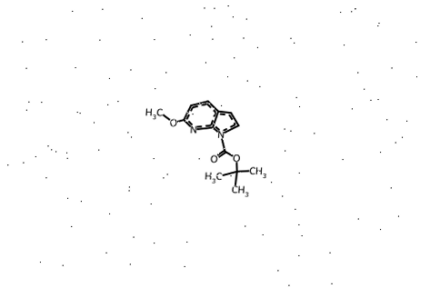 COc1ccc2ccn(C(=O)OC(C)(C)C)c2n1